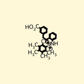 Cc1c(C)c(C)c(S(=O)(=O)Nc2ccccc2CCc2cccc(C(=O)O)c2)c(C)c1C